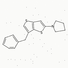 c1ccc(Cc2csc3cc(N4CCCC4)sc23)cc1